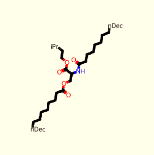 CCCCCCCCCCCCCCCCCC(=O)NC(COC(=O)CCCCCCCCCCCCCCCCC)C(=O)OCCC(C)C